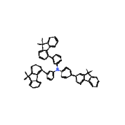 CC1(C)C2=CCCC(c3cccc(N(c4ccc(-c5ccc6c(c5)C(C)(C)c5ccccc5-6)cc4)c4cccc(-c5cccc6c5-c5ccccc5C6(C)C)c4)c3)=C2c2ccccc21